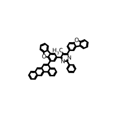 Cc1c(-c2ccc3oc4ccccc4c3c2)nc(-c2ccccc2)nc1-c1cc(-c2cc3cc4ccccc4cc3c3ccccc23)c2oc3ccccc3c2c1